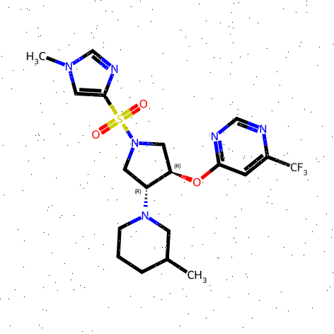 CC1CCCN([C@@H]2CN(S(=O)(=O)c3cn(C)cn3)C[C@H]2Oc2cc(C(F)(F)F)ncn2)C1